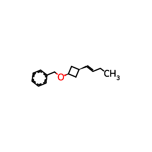 CC/C=C/[C@H]1C[C@@H](OCc2ccccc2)C1